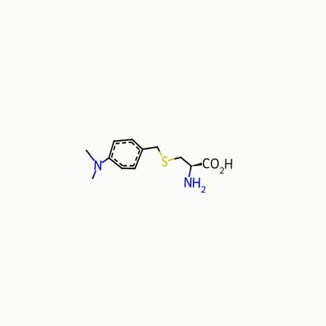 CN(C)c1ccc(CSC[C@H](N)C(=O)O)cc1